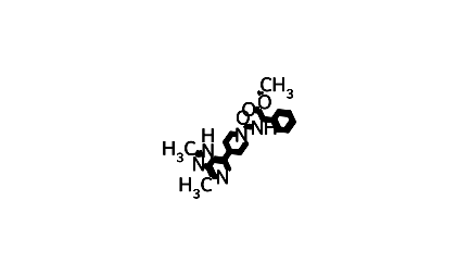 CCOC(=O)C(NC(=O)N1CCC(c2cnc(C)c3nc(C)[nH]c23)CC1)c1ccccc1